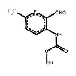 CC(C)(C)OC(=O)Nc1ccc(C(F)(F)F)nc1C=O